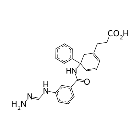 NN=CNc1cccc(C(=O)NC2(c3ccccc3)C=CC=C(CCC(=O)O)C2)c1